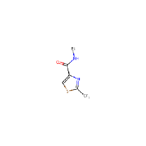 CCNC(=O)c1csc(C(F)(F)F)n1